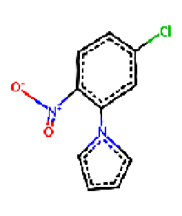 O=[N+]([O-])c1ccc(Cl)cc1-n1cccc1